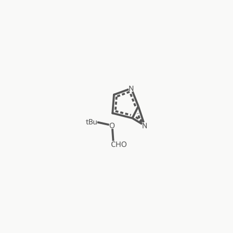 CC(C)(C)OC=O.c1cc2nc-2n1